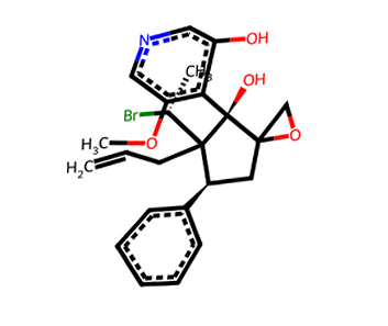 C=CCC1([C@@H](C)Br)[C@H](c2ccccc2)CC2(CO2)[C@@]1(O)c1c(O)cncc1OC